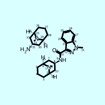 CN1[C@@H]2CCC[C@H]1C[C@@H](NC(=O)c1nn(C)c3ccccc13)C2.CN1[C@@H]2CCC[C@H]1C[C@H](N)C2